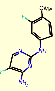 COc1ccc(Nc2ncc(F)c(N)n2)cc1F